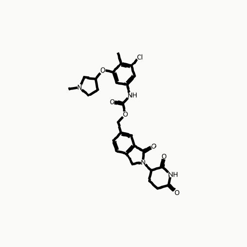 Cc1c(Cl)cc(NC(=O)OCc2ccc3c(c2)C(=O)N(C2CCC(=O)NC2=O)C3)cc1OC1CCN(C)C1